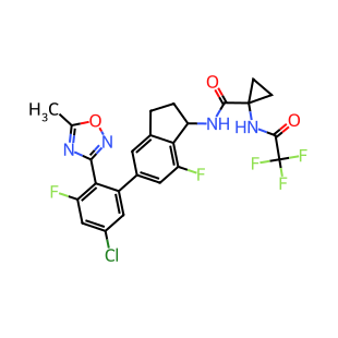 Cc1nc(-c2c(F)cc(Cl)cc2-c2cc(F)c3c(c2)CCC3NC(=O)C2(NC(=O)C(F)(F)F)CC2)no1